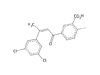 Cc1ccc(C(=O)C=C(c2cc(Cl)cc(Cl)c2)C(F)(F)F)cc1C(=O)O